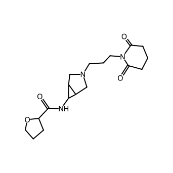 O=C(NC1C2CN(CCCN3C(=O)CCCC3=O)CC21)C1CCCO1